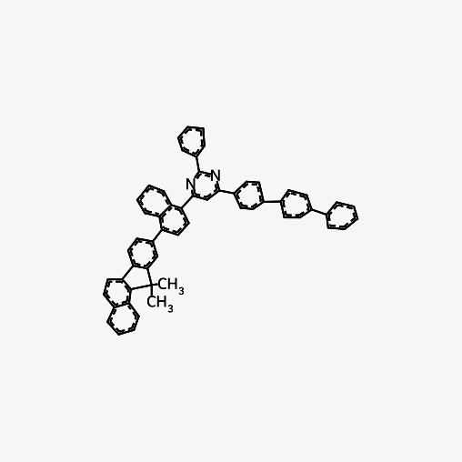 CC1(C)c2cc(-c3ccc(-c4cc(-c5ccc(-c6ccc(-c7ccccc7)cc6)cc5)nc(-c5ccccc5)n4)c4ccccc34)ccc2-c2ccc3ccccc3c21